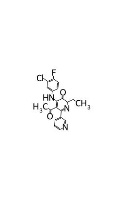 CCC1N=C(c2cccnc2)C(C(C)=O)=C(Nc2ccc(F)c(Cl)c2)C1=O